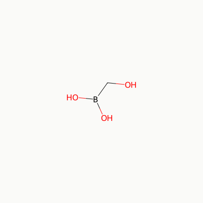 OCB(O)O